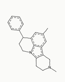 Cc1cc2c3c(c1)c1c(n3CCC2c2ccccc2)CCN(C)C1